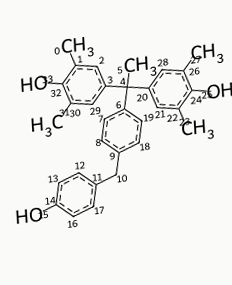 Cc1cc(C(C)(c2ccc(Cc3ccc(O)cc3)cc2)c2cc(C)c(O)c(C)c2)cc(C)c1O